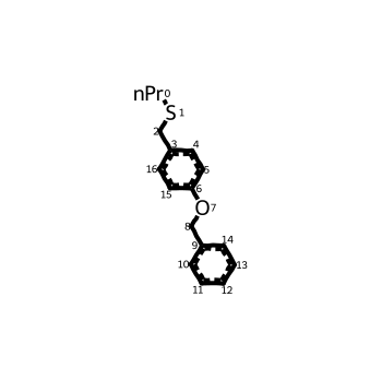 C[CH]CSCc1ccc(OCc2ccccc2)cc1